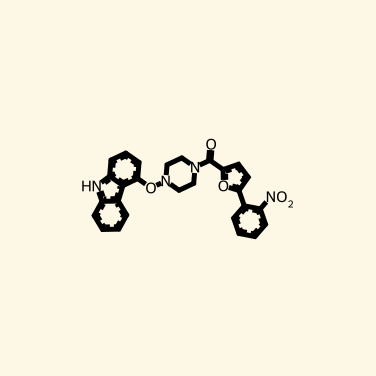 O=C(c1ccc(-c2ccccc2[N+](=O)[O-])o1)N1CCN(Oc2cccc3[nH]c4ccccc4c23)CC1